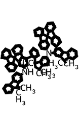 CC1(C)CC(C)(c2ccccc2-c2cc(Nc3ccc4c(c3)C(C)(C)c3ccccc3-4)cc3c2-c2ccccc2C32c3ccccc3-c3ccccc32)c2cc(N(c3ccc4c(c3)C(C)(C)c3ccccc3-4)c3ccc4c(c3)C3(c5ccccc5-c5ccccc53)c3ccccc3-4)ccc21